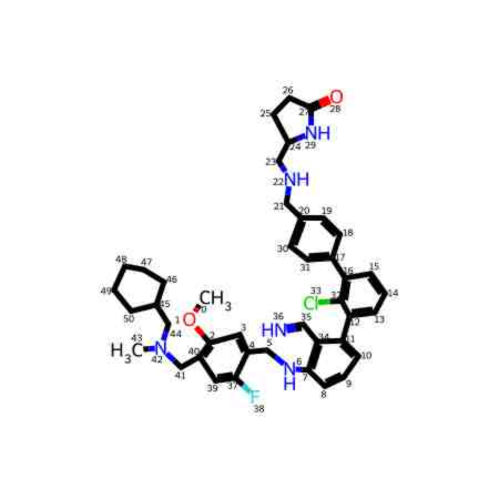 COc1cc(CNc2cccc(-c3cccc(-c4ccc(CNCC5CCC(=O)N5)cc4)c3Cl)c2C=N)c(F)cc1CN(C)CC1CCCCC1